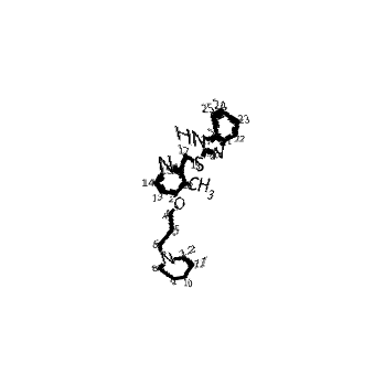 Cc1c(OCCCN2CCCCC2)ccnc1CSc1nc2ccccc2[nH]1